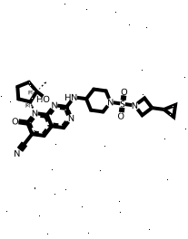 C[C@@]1(O)CCC[C@H]1n1c(=O)c(C#N)cc2cnc(NC3CCN(S(=O)(=O)N4CC(C5CC5)C4)CC3)nc21